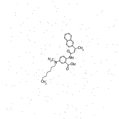 CCCCCCCN(C)c1ccc(NC(=O)/C=C(/C)c2ccc3ccccc3c2)c(C(=O)O)c1